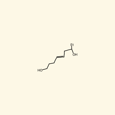 CCC(O)CC=CCCCO